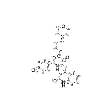 O=C(NC(Cc1cc(=O)[nH]c2ccccc12)C(=O)OC/C=C\CN1CCOCC1)c1ccc(Cl)cc1